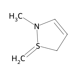 C=S1CC=CN1C